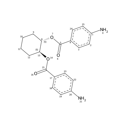 Nc1ccc(C(=O)O[C@H]2CCCC[C@@H]2OC(=O)c2ccc(N)cc2)cc1